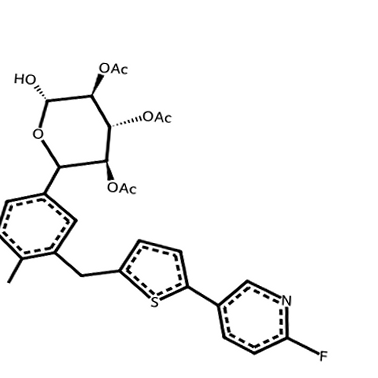 CC(=O)O[C@H]1[C@H](OC(C)=O)[C@@H](OC(C)=O)C(c2ccc(C)c(Cc3ccc(-c4ccc(F)nc4)s3)c2)O[C@@H]1O